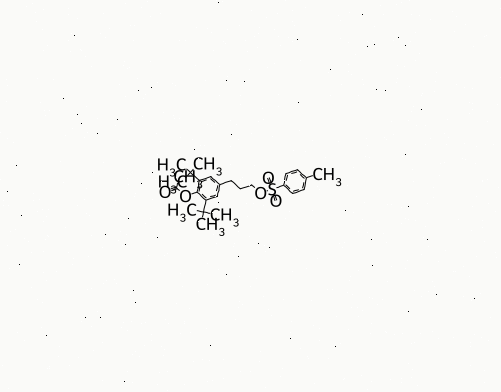 CC(=O)Oc1c(C(C)(C)C)cc(CCCOS(=O)(=O)c2ccc(C)cc2)cc1C(C)(C)C